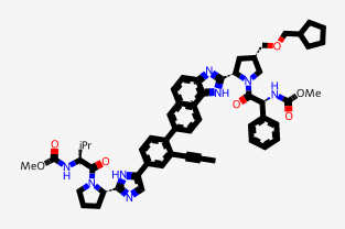 CC#Cc1cc(-c2cnc([C@@H]3CCCN3C(=O)[C@@H](NC(=O)OC)C(C)C)[nH]2)ccc1-c1ccc2c(ccc3nc([C@@H]4C[C@H](COCC5CCCC5)CN4C(=O)[C@H](NC(=O)OC)c4ccccc4)[nH]c32)c1